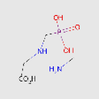 CN.O=C(O)CNCP(=O)(O)O